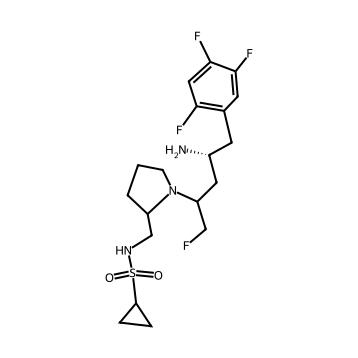 N[C@H](Cc1cc(F)c(F)cc1F)CC(CF)N1CCCC1CNS(=O)(=O)C1CC1